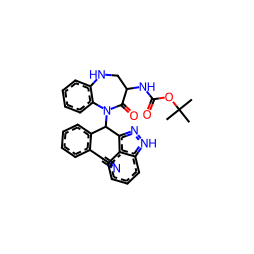 CC(C)(C)OC(=O)NC1CNc2ccccc2N(C(c2ccccc2C#N)c2n[nH]c3ccccc23)C1=O